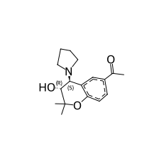 CC(=O)c1ccc2c(c1)[C@H](N1CCCC1)[C@@H](O)C(C)(C)O2